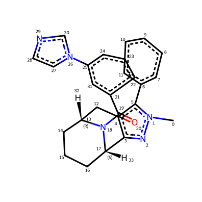 Cn1nc2c(c1-c1ccccc1)C[C@H]1CCC[C@@H]2N1C(=O)c1cccc(-n2ccnc2)c1